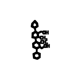 Cc1c(-c2ccc(-c3ccccc3)c(CO)c2C)ccc(-c2ccccc2)c1CO